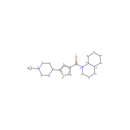 CN1CCC(c2cc(C(=O)N3CCCC4CCCCC43)cs2)CC1